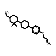 C=CCOc1ccc(C2CCC(C3CCC(CC)CC3(F)F)CC2)cc1